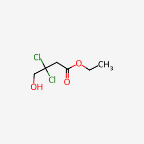 CCOC(=O)CC(Cl)(Cl)CO